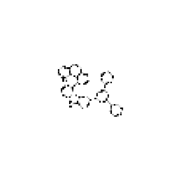 c1ccc(-c2cc(-c3ccccc3)cc(-c3ccc4sc5cccc(-c6cccc7ccc8cccnc8c67)c5c4c3)c2)cc1